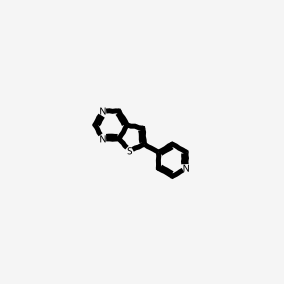 c1cc(-c2cc3cncnc3s2)ccn1